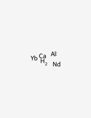 [Al].[CaH2].[Nd].[Yb]